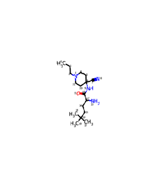 CCCN1CCC(C#N)(NC(=O)C(N)CCC(C)(C)C)CC1